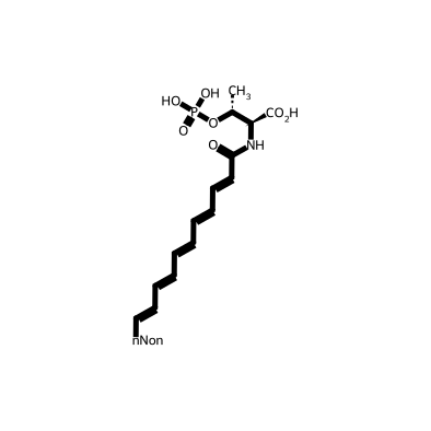 CCCCCCCCCC=CC=CC=CC=CC=CC(=O)N[C@H](C(=O)O)[C@@H](C)OP(=O)(O)O